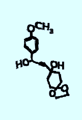 COc1ccc(C(O)C#CC2(O)CCC3(CC2)OCCO3)cc1